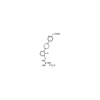 COCc1ccc(N2CCN(c3cccc(CNC(=N)NC(=O)O)c3F)CC2)cn1